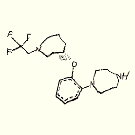 FC(F)(F)CN1CCC[C@H](Oc2ccccc2N2CCNCC2)C1